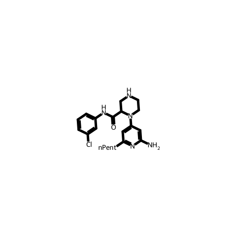 CCCCCc1cc(N2CCNCC2C(=O)Nc2cccc(Cl)c2)cc(N)n1